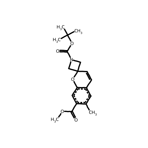 COC(=O)c1cc2c(cc1C)C=CC1(CN(C(=O)OC(C)(C)C)C1)O2